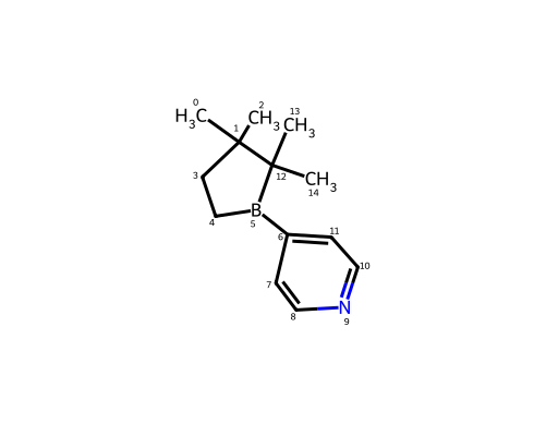 CC1(C)CCB(c2ccncc2)C1(C)C